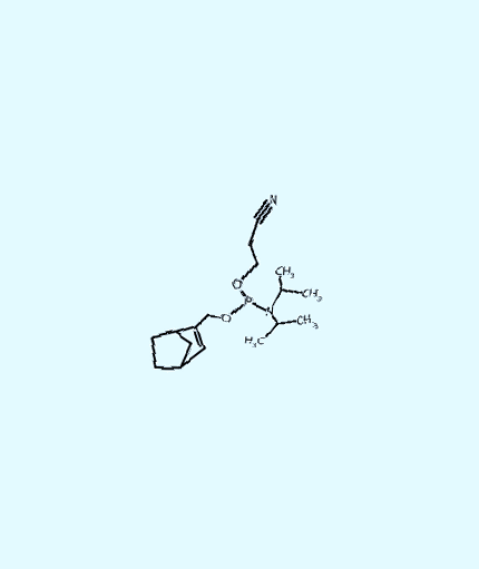 CC(C)N(C(C)C)P(OCCC#N)OCC1=CC2CCC1C2